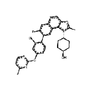 Cc1ccnc(Oc2ccc(-c3cc4c(cc3F)ncc3nc(C)n([C@H]5CC[C@H](O)CC5)c34)c(Cl)c2)n1